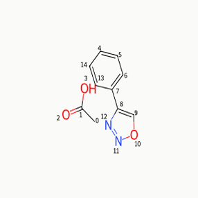 CC(=O)O.c1ccc(-c2conn2)cc1